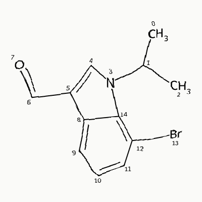 CC(C)n1cc(C=O)c2cccc(Br)c21